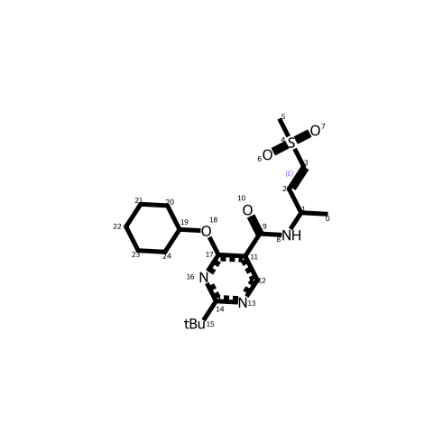 CC(/C=C/S(C)(=O)=O)NC(=O)c1cnc(C(C)(C)C)nc1OC1CCCCC1